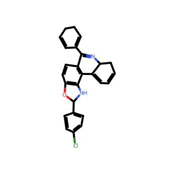 Clc1ccc(C2Nc3c(ccc4c3C3=CC=CCC3N=C4C3=CCCC=C3)O2)cc1